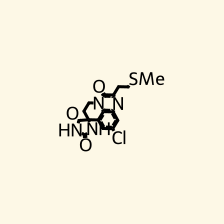 CSCCc1nc2cc(Cl)cc3c2n(c1=O)CCC31NC(=O)NC1=O